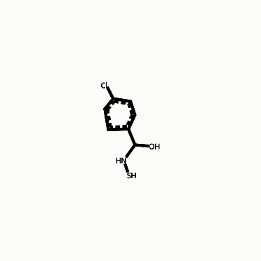 OC(NS)c1ccc(Cl)cc1